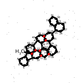 CC1(C)c2ccccc2-c2ccc(N(c3ccccc3-c3cccc(-c4cccc5ccccc45)c3)c3ccccc3-c3ccccc3-c3ccccc3)cc21